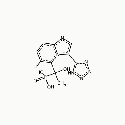 CC(O)(c1c(Cl)ccc2ncc(-c3nnn[nH]3)n12)P(=O)(O)O